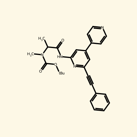 CC(C(=O)Nc1cc(-c2ccncc2)cc(C#Cc2ccccc2)n1)N(C)C(=O)OC(C)(C)C